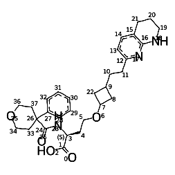 O=C(O)[C@H](CCOC1CC(CCc2ccc3c(n2)NCCC3)C1)NC(=O)C1(c2ccccc2)CCOCC1